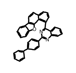 c1ccc(-c2ccc(-c3nc(-c4cccc5ccc6c7ccccc7oc6c45)c4ccccc4n3)cc2)cc1